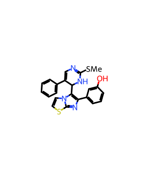 CSC1=NC=C(c2ccccc2)C(c2c(-c3cccc(O)c3)nc3sccn23)N1